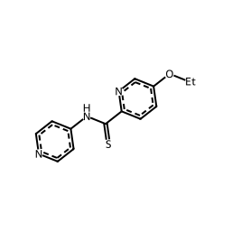 CCOc1ccc(C(=S)Nc2ccncc2)nc1